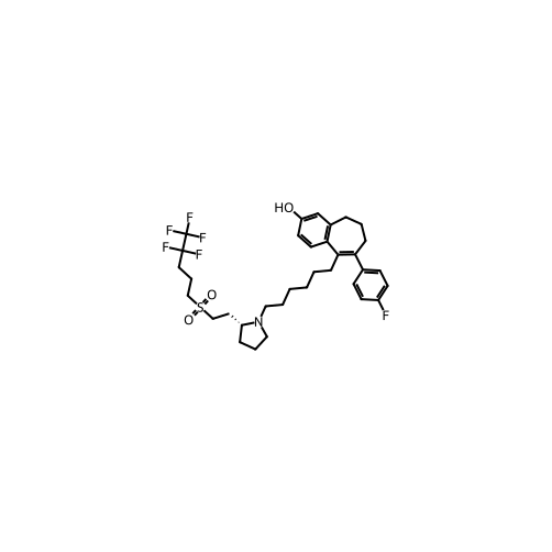 O=S(=O)(CCCC(F)(F)C(F)(F)F)CC[C@H]1CCCN1CCCCCCC1=C(c2ccc(F)cc2)CCCc2cc(O)ccc21